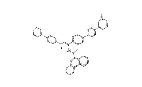 CC(/C=C(/c1ccc(-c2ccc(C3=CC=CN(C)C3)cc2)cc1)N(C)C(C)c1cc2ccccc2c2ccccc12)c1ccc(C2=CCCC=C2)cc1